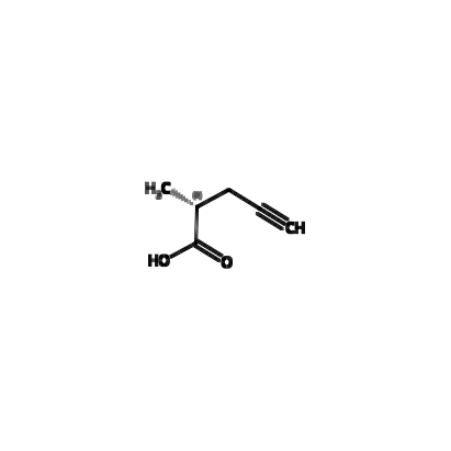 C#CC[C@@H](C)C(=O)O